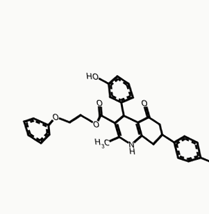 CC1=C(C(=O)OCCOc2ccccc2)C(c2cccc(O)c2)C2=C(CC(c3ccc(Cl)cc3)CC2=O)N1